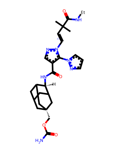 CCNC(=O)C(C)(C)/C=C/n1ncc(C(=O)N[C@H]2C3CC4CC2C[C@](COC(N)=O)(C4)C3)c1-n1cccn1